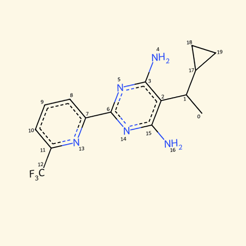 CC(c1c(N)nc(-c2cccc(C(F)(F)F)n2)nc1N)C1CC1